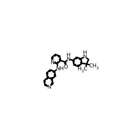 CC1(C)CNc2cc(NC(=O)c3cccnc3Nc3ccc4ccncc4c3)ccc21